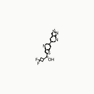 Cn1cc2cc(-c3cnc4cc([C@H](O)C5CC(F)(F)C5)sc4c3)cnc2n1